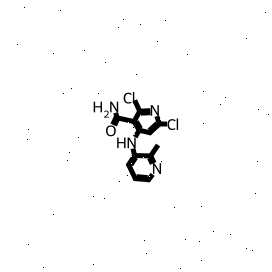 Cc1ncccc1Nc1cc(Cl)nc(Cl)c1C(N)=O